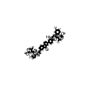 COC(=O)N[C@H](C(=O)N(Cc1nc2ccc(-c3ccc4c(c3)C(=O)c3cc(-c5cnc([C@@H]6CCCN6C(=O)[C@@H](NC(=O)OC)C(C)C)[nH]5)ccc3-4)cc2[nH]1)[C@@H]1CCC[C@H](C)C1)C(C)C